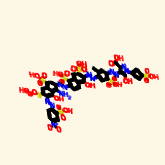 Cc1cc(N=Nc2c(C(=O)O)nn(-c3ccc(S(=O)(=O)O)cc3)c2O)c(S(=O)(=O)O)cc1N=Nc1c(S(=O)(=O)O)cc2c(S(=O)(=O)O)c(N=Nc3cc(S(=O)(=O)O)c4cc(SOOO)c(N=Nc5ccc([N+](=O)[O-])cc5S(=O)(=O)O)c(O)c4c3N)ccc2c1O